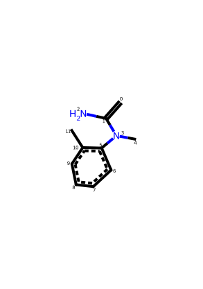 C=C(N)N(C)c1ccccc1C